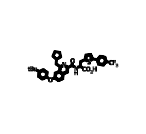 CC(C)(C)c1ccc(Oc2ccc3cc(C(=O)NC(Cc4ccc(-c5ccc(C(F)(F)F)cc5)s4)C(=O)O)nc(CC4CCCC4)c3c2)cc1